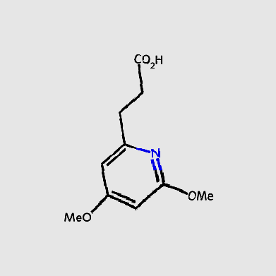 COc1cc(CCC(=O)O)nc(OC)c1